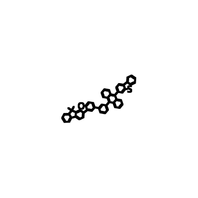 CC1(C)c2ccccc2-c2ccc3c(oc4ccc(-c5cccc(-c6c7ccccc7c(-c7ccc8c(c7)sc7ccccc78)c7ccccc67)c5)cc43)c21